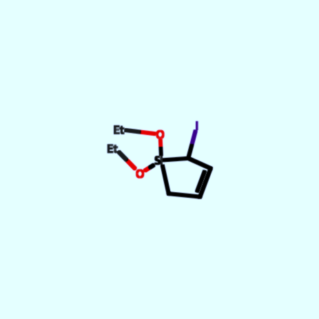 CCO[Si]1(OCC)CC=CC1I